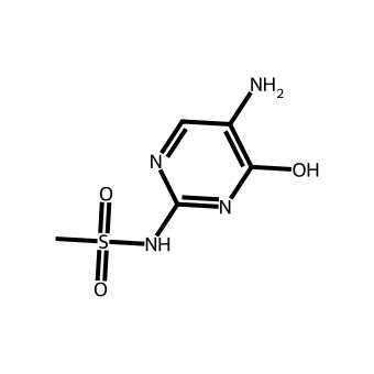 CS(=O)(=O)Nc1ncc(N)c(O)n1